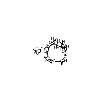 C=C1C[C@@H]2CC[C@@]34C[C@H]5O[C@H]6C(O3)[C@H]3O[C@H](CC[C@@H]3O[C@H]6[C@H]5O4)CC(=O)C[C@@H]3[C@@H](C)[C@@H](C[C@H]4COC(C)(C)O4)O[C@H]3C[C@H]3O[C@@H](CCC1O2)C[C@@H](C)C3=C